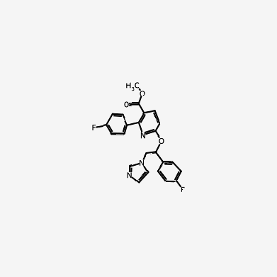 COC(=O)c1ccc(OC(Cn2ccnc2)c2ccc(F)cc2)nc1-c1ccc(F)cc1